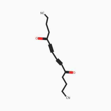 N#CCCCC(=O)C#CC#CC(=O)CCCC#N